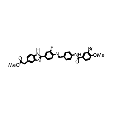 COC(=O)Cc1ccc2[nH]c(-c3ccc(N=Cc4ccc(NC(=O)c5ccc(OC)c(Br)c5)cc4)c(F)c3)nc2c1